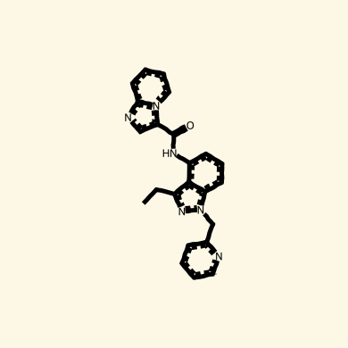 CCc1nn(Cc2ccc[c]n2)c2cccc(NC(=O)c3cnc4ccccn34)c12